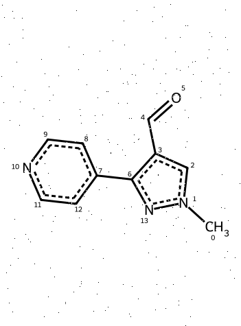 Cn1cc(C=O)c(-c2ccncc2)n1